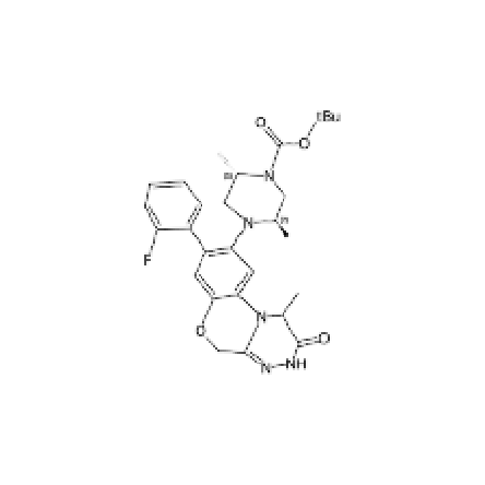 CC1C(=O)NN=C2COc3cc(-c4ccccc4F)c(N4C[C@H](C)N(C(=O)OC(C)(C)C)C[C@H]4C)cc3N21